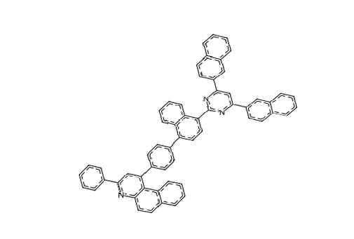 c1ccc(-c2cc(-c3ccc(-c4ccc(-c5nc(-c6ccc7ccccc7c6)cc(-c6ccc7ccccc7c6)n5)c5ccccc45)cc3)c3c(ccc4ccccc43)n2)cc1